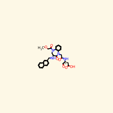 COCC(=O)N1C[C@H](NCc2ccc3ccccc3c2)C(=O)N(CC(=O)N[C@H](C=O)CC(=O)O)c2ccccc21